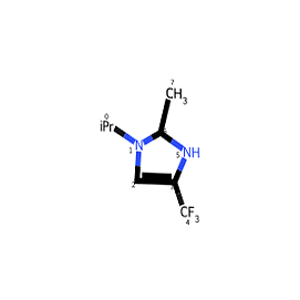 CC(C)N1C=C(C(F)(F)F)NC1C